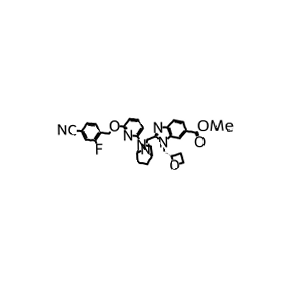 COC(=O)c1ccc2nc(CN3C4CCC3N(c3cccc(OCc5ccc(C#N)cc5F)n3)C4)n(C[C@@H]3CCO3)c2c1